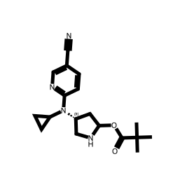 CC(C)(C)C(=O)OC1C[C@@H](N(c2ccc(C#N)cn2)C2CC2)CN1